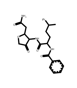 CC(C)C(C)CCC(NC(=O)c1ccccc1)C(=O)NC1C(=O)COC1CC(N)=O